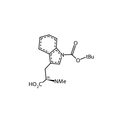 CN[C@H](Cc1cn(C(=O)OC(C)(C)C)c2ccccc12)C(=O)O